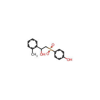 Cc1ccccc1C(O)CS(=O)(=O)c1ccc(O)cc1